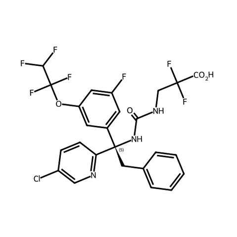 O=C(NCC(F)(F)C(=O)O)N[C@@](Cc1ccccc1)(c1cc(F)cc(OC(F)(F)C(F)F)c1)c1ccc(Cl)cn1